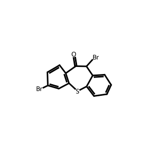 O=C1c2ccc(Br)cc2Sc2ccccc2C1Br